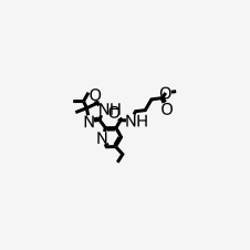 CCc1cnc(C2=NC(C)(C(C)C)C(=O)N2)c(C(=O)NCCCC(=O)OC)c1